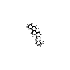 Fc1cccc(CC2CCCc3c2ccc2c3ccc3ccccc32)c1